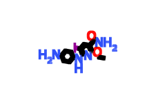 CCOc1nc(NC2CCC(N)CC2)c(I)cc1C(N)=O